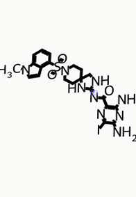 Cn1ccc2c(S(=O)(=O)N3CCC4(CC3)CN/C(=N\C(=O)c3nc(I)c(N)nc3N)N4)cccc21